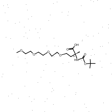 COCCOCCOCCOCC[C@@](C)(NC(=O)OC(C)(C)C)C(=O)O